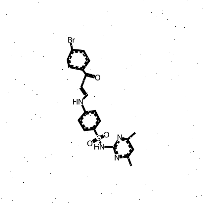 Cc1cc(C)nc(NS(=O)(=O)c2ccc(NC=CC(=O)c3ccc(Br)cc3)cc2)n1